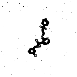 O=C(NCc1cccc(Cl)c1)c1cccnc1SCCS(=O)(=O)c1ccccc1